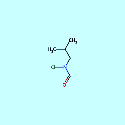 CC(C)CN(Cl)C=O